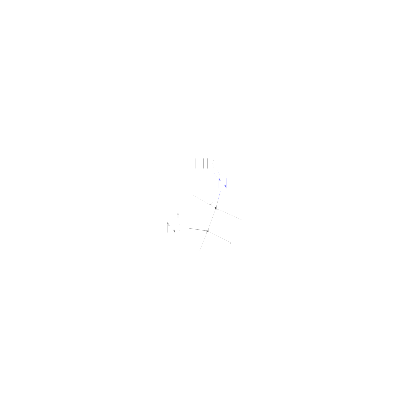 B=NC(C)(C)C(C)(C)C#N